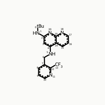 CC(C)(C)Nc1cc(NCc2cccnc2C(F)(F)F)c2cccnc2n1